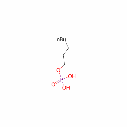 CCCCCCCOP(=O)(O)O